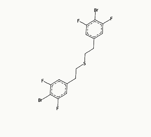 Fc1cc(CCSCCc2cc(F)c(Br)c(F)c2)cc(F)c1Br